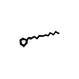 CCCCCCCCCCC=Cc1c[c]ccc1